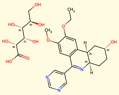 CCOc1cc2c(cc1OC)C(c1cncnc1)=N[C@@H]1CC[C@@H](O)C[C@H]21.O=C(O)[C@H](O)[C@@H](O)[C@H](O)[C@H](O)CO